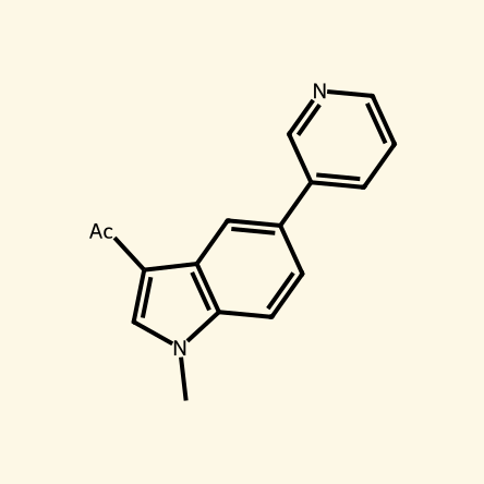 CC(=O)c1cn(C)c2ccc(-c3cccnc3)cc12